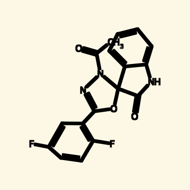 CC(=O)N1N=C(c2cc(F)ccc2F)OC12C(=O)Nc1ccccc12